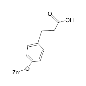 O=C(O)CCc1ccc([O][Zn])cc1